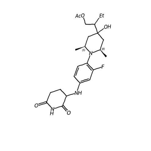 CCC(COC(C)=O)C1(O)C[C@@H](C)N(c2ccc(NC3CCC(=O)NC3=O)cc2F)[C@@H](C)C1